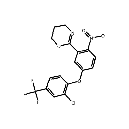 O=[N+]([O-])c1ccc(Oc2ccc(C(F)(F)F)cc2Cl)cc1C1=NCCCO1